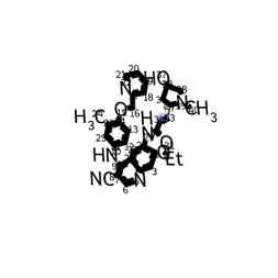 CCOc1cc2ncc(C#N)c(Nc3ccc(OCc4ccccn4)c(C)c3)c2cc1NC(=O)/C=C/[C@@H]1C[C@@H](O)CN1C